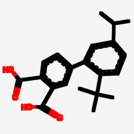 CC(C)c1ccc(C(C)(C)C)c(-c2ccc(C(=O)O)c(C(=O)O)c2)c1